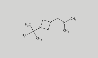 CN(C)CC1CN(C(C)(C)C)C1